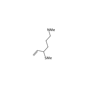 C=CC(CCCNC)SC